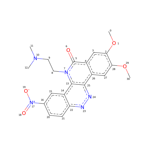 COc1cc2c(=O)n(CCN(C)C)c3c4cc([N+](=O)[O-])ccc4nnc3c2cc1OC